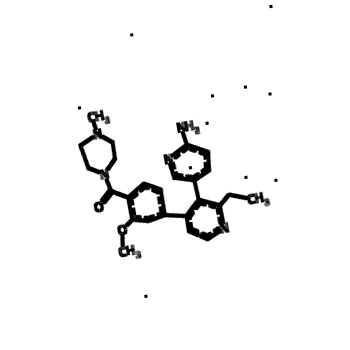 CCc1nccc(-c2ccc(C(=O)N3CCN(C)CC3)c(OC)c2)c1-c1ccc(N)nc1